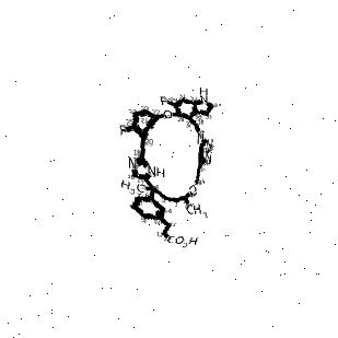 CC1CCC(C)(c2cccc(CCC(=O)O)c2)c2cnc([nH]2)-c2cc(ccc2F)Oc2c(F)cc3[nH]ccc3c2Cn2cc(nn2)CO1